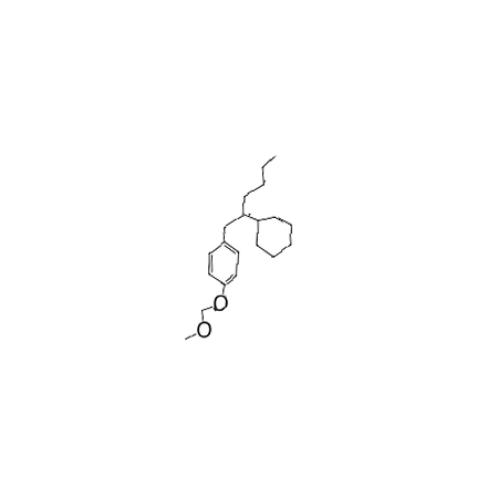 CCCC[C](Cc1ccc(OCOC)cc1)C1CCCCC1